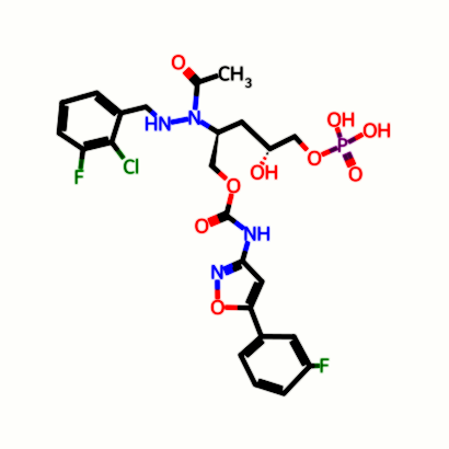 CC(=O)N(NCc1cccc(F)c1Cl)[C@H](COC(=O)Nc1cc(-c2cccc(F)c2)on1)C[C@@H](O)COP(=O)(O)O